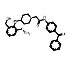 COc1cccc(CO)c1NC1CCN(CC(=O)Nc2ccc(C(=O)c3ccccc3)cc2)CC1